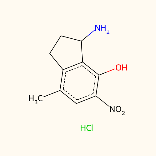 Cc1cc([N+](=O)[O-])c(O)c2c1CCC2N.Cl